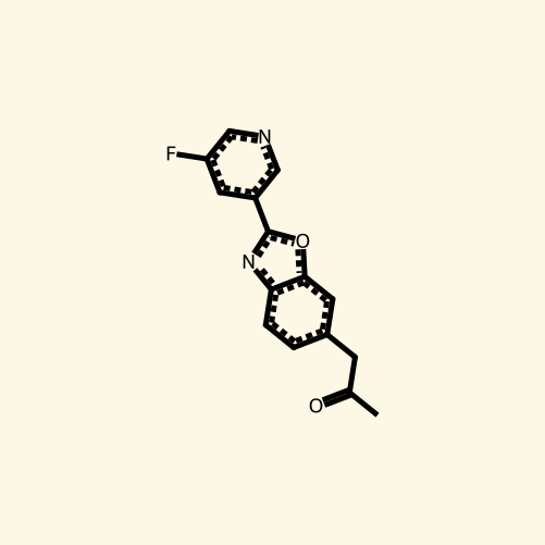 CC(=O)Cc1ccc2nc(-c3cncc(F)c3)oc2c1